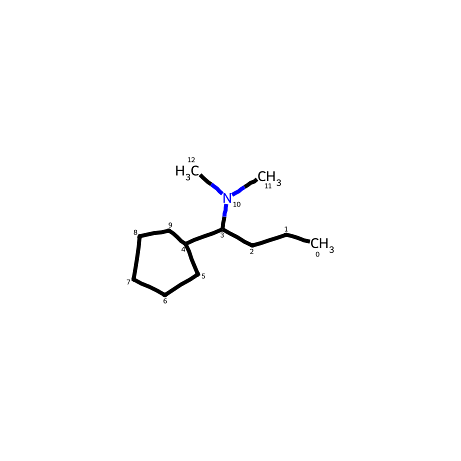 CCCC(C1CCCCC1)N(C)C